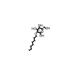 CCCCCCCCO[C@@H]1[C@@H](O)[C@@H](O)[C@@H](CO)O[C@H]1O